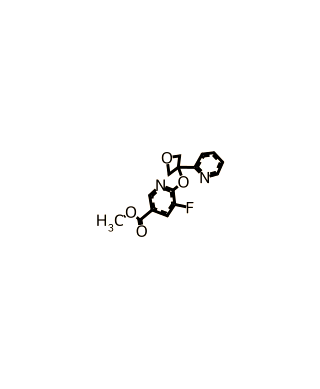 COC(=O)c1cnc(OC2(c3ccccn3)COC2)c(F)c1